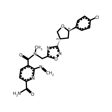 C=Nc1nc(C(N)=O)ccc1C(=O)N(C)Cc1nc([C@@H]2CO[C@@H](c3ccc(Cl)cc3)C2)no1